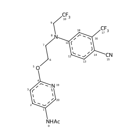 CC(=O)Nc1ccc(OCCN(CC(F)(F)F)c2ccc(C#N)c(C(F)(F)F)c2)nc1